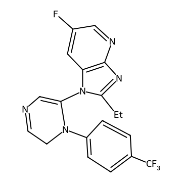 CCc1nc2ncc(F)cc2n1C1=CN=CCN1c1ccc(C(F)(F)F)cc1